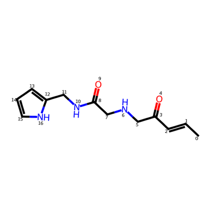 CC=CC(=O)CNCC(=O)NCc1ccc[nH]1